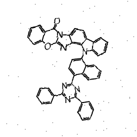 O=c1c2ccccc2oc2nc3c4c(ccc3n12)c1ccccc1n4-c1ccc(-c2nc(-c3ccccc3)nc(-c3ccccc3)n2)c2ccccc12